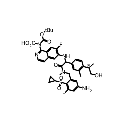 Cc1cc(C(Nc2cc3ccnc(N(C(=O)O)C(=O)OC(C)(C)C)c3cc2F)C(=O)N(C)Cc2cc(N)cc(F)c2S(=O)(=O)C2CC2)ccc1[C@@H](C)CO